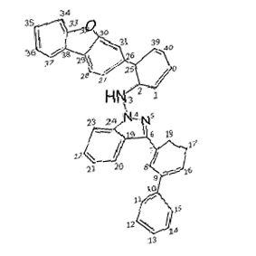 C1=CC(Nn2nc(C3=CC(c4ccccc4)=CCC3)c3ccccc32)C(c2ccc3c(c2)oc2ccccc23)C=C1